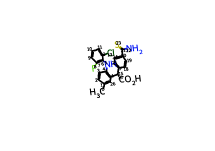 Cc1ccc(Nc2c(F)cccc2Cl)c(C(C(=O)O)c2ccc(C(N)=S)cc2)c1